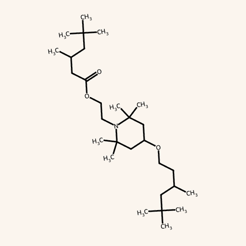 CC(CCOC1CC(C)(C)N(CCOC(=O)CC(C)CC(C)(C)C)C(C)(C)C1)CC(C)(C)C